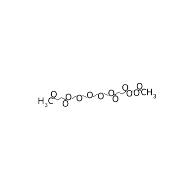 CC(=O)CCC(=O)OCCOCCOCCOCCOC(=O)CCC(=O)OCOC(C)=O